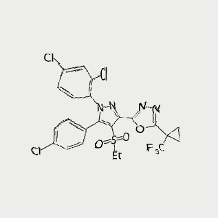 CCS(=O)(=O)c1c(-c2nnc(C3(C(F)(F)F)CC3)o2)nn(-c2ccc(Cl)cc2Cl)c1-c1ccc(Cl)cc1